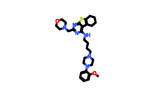 COc1ccccc1N1CCN(CCCCNc2nc(CN3CCOCC3)nc3sc4c(c23)CCCC4)CC1